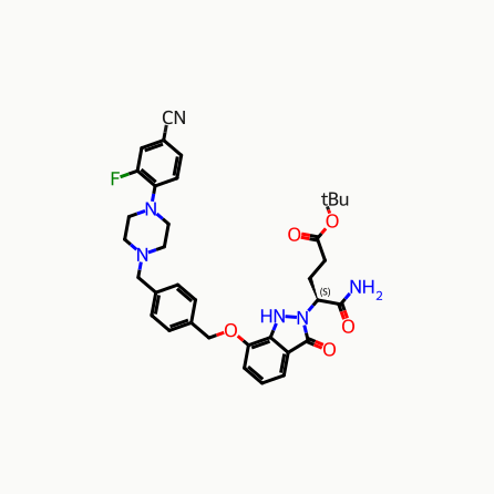 CC(C)(C)OC(=O)CC[C@@H](C(N)=O)n1[nH]c2c(OCc3ccc(CN4CCN(c5ccc(C#N)cc5F)CC4)cc3)cccc2c1=O